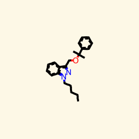 CCCCCn1nc(COC(C)(C)c2ccccc2)c2ccccc21